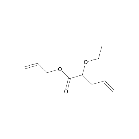 C=CCOC(=O)C(CC=C)OCC